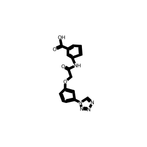 O=C(COc1cccc(-n2cnnn2)c1)Nc1cccc(C(=O)O)c1